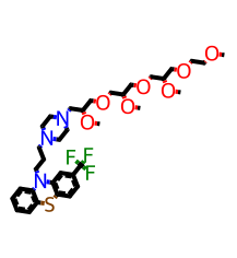 COCCOCC(COCC(COCC(CN1CCN(CCCN2c3ccccc3Sc3ccc(C(F)(F)F)cc32)CC1)OC)OC)OC